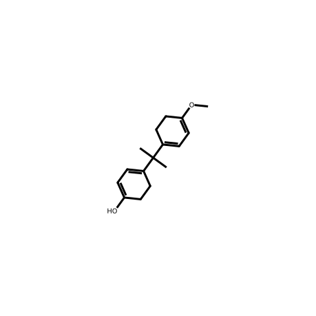 COC1=CC=C(C(C)(C)C2=CC=C(O)CC2)CC1